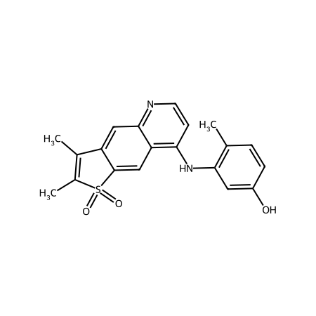 CC1=C(C)S(=O)(=O)c2cc3c(Nc4cc(O)ccc4C)ccnc3cc21